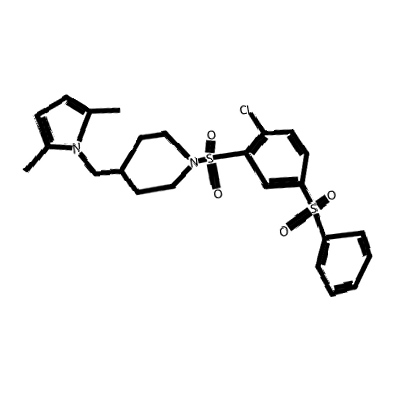 Cc1ccc(C)n1CC1CCN(S(=O)(=O)c2cc(S(=O)(=O)c3ccccc3)ccc2Cl)CC1